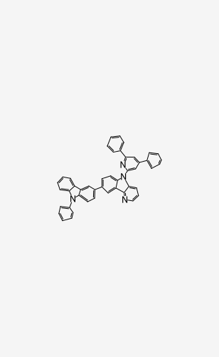 c1ccc(-c2cc(-c3ccccc3)nc(-n3c4ccc(-c5ccc6c(c5)c5ccccc5n6-c5ccccc5)cc4c4ncccc43)c2)cc1